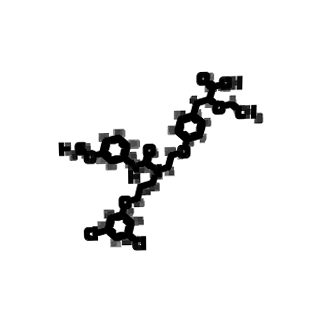 CCOC(Cc1ccc(OCCN(CCCOc2cc(Cl)cc(Cl)c2)C(=O)Nc2cccc(OC)c2)cc1)C(=O)O